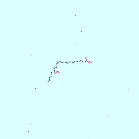 CCCCC[C@H](O)/C=C/C=C\CC=CCC=CCCCC(=O)O